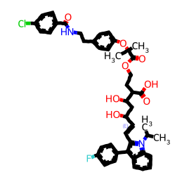 CC(C)n1c(/C=C/C(O)CC(O)C(CCOC(=O)C(C)(C)Oc2ccc(CCNC(=O)c3ccc(Cl)cc3)cc2)C(=O)O)c(-c2ccc(F)cc2)c2ccccc21